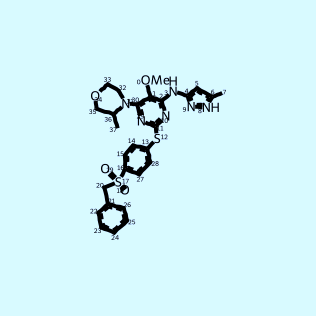 COc1c(Nc2cc(C)[nH]n2)nc(Sc2ccc(S(=O)(=O)Cc3ccccc3)cc2)nc1N1CCOCC1C